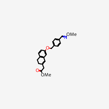 CO/N=C/c1ccc(COc2ccc3c(c2)C=C(CC(=O)OC)CC3)cc1